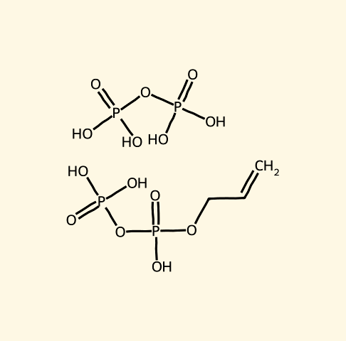 C=CCOP(=O)(O)OP(=O)(O)O.O=P(O)(O)OP(=O)(O)O